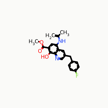 C=C(C)Nc1cc(C(=O)OC)c(O)c2ncc(Cc3ccc(F)cc3)cc12